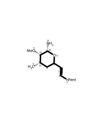 CCCCC/C=C/C1C[C@H](C)[C@H](OC)[C@H](N)O1